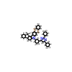 CC1(C)c2ccccc2-c2ccc3c(c21)c1cc2c(cc1n3-c1cccc(-c3cc(-c4ccccc4)nc(-c4ccccc4)n3)c1)Sc1ccccc1S2